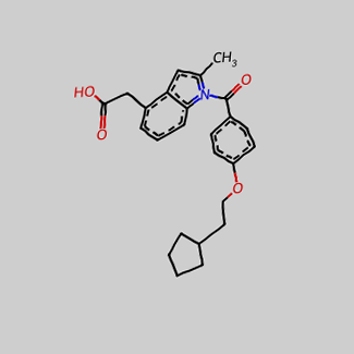 Cc1cc2c(CC(=O)O)cccc2n1C(=O)c1ccc(OCCC2CCCC2)cc1